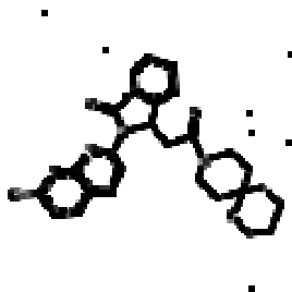 O=C(CC1c2ccccc2C(=O)N1c1ccc2ccc(Cl)nc2n1)N1CCC2(CC1)SCCCS2